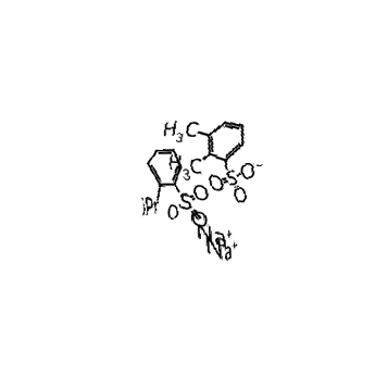 CC(C)c1ccccc1S(=O)(=O)[O-].Cc1cccc(S(=O)(=O)[O-])c1C.[Na+].[Na+]